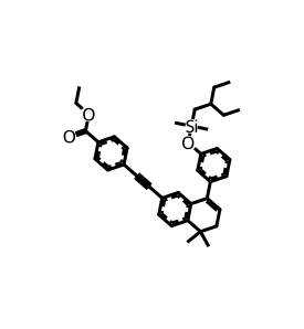 CCOC(=O)c1ccc(C#Cc2ccc3c(c2)C(c2cccc(O[Si](C)(C)CC(CC)CC)c2)=CCC3(C)C)cc1